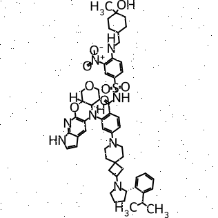 CC(C)c1ccccc1[C@@H]1CCCN1C1CC2(CCN(c3ccc(C(=O)NS(=O)(=O)c4ccc(NCC5CCC(C)(O)CC5)c([N+](=O)[O-])c4)c(N4c5cc6cc[nH]c6nc5O[C@@H]5COCC[C@H]54)c3)CC2)C1